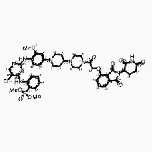 COc1cc(N2CCC(N3CCN(C(=O)COc4cccc5c4C(=O)N(C4CCC(=O)NC4=O)C5=O)CC3)CC2)ccc1Nc1ncc(Cl)c(Nc2ccccc2P(=O)(OC)OC)n1